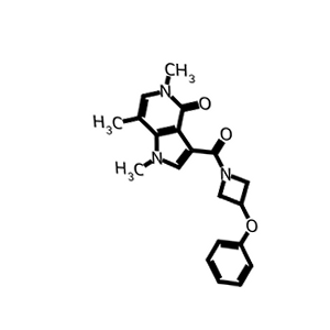 Cc1cn(C)c(=O)c2c(C(=O)N3CC(Oc4ccccc4)C3)cn(C)c12